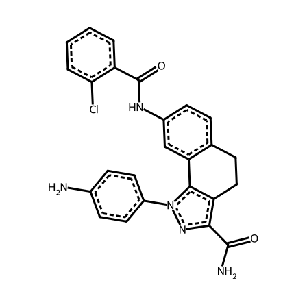 NC(=O)c1nn(-c2ccc(N)cc2)c2c1CCc1ccc(NC(=O)c3ccccc3Cl)cc1-2